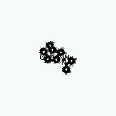 c1ccc(-c2nc(-n3c4ccccc4c4c3ccc3c5ccc6oc7ccccc7c6c5n(-c5ccc6ccccc6c5)c34)nc3ccccc23)cc1